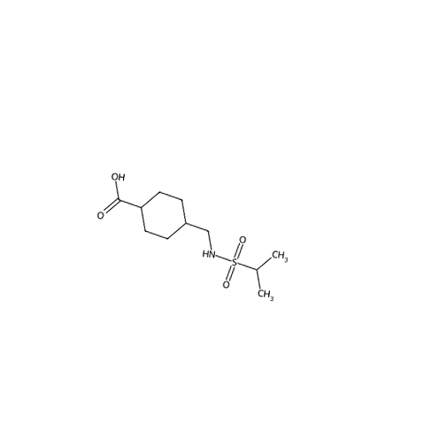 CC(C)S(=O)(=O)NCC1CCC(C(=O)O)CC1